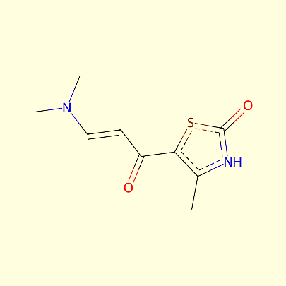 Cc1[nH]c(=O)sc1C(=O)C=CN(C)C